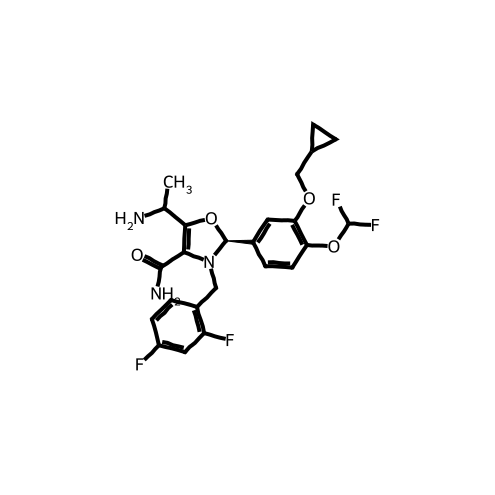 CC(N)C1=C(C(N)=O)N(Cc2ccc(F)cc2F)[C@H](c2ccc(OC(F)F)c(OCC3CC3)c2)O1